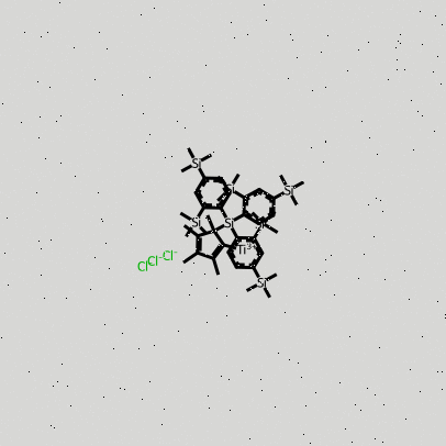 CC1=C(C)C(C)([Si](c2ccc([Si](C)(C)C)cc2[Si](C)(C)C)(c2ccc([Si](C)(C)C)cc2[Si](C)(C)C)c2ccc([Si](C)(C)C)cc2[Si](C)(C)C)[C]([Ti+3])=C1C.[Cl-].[Cl-].[Cl-]